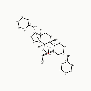 C[C@]12CC[C@H]3[C@@H](CC=C4C[C@@H](OC5CCCCO5)CC[C@@]43CC=CCl)[C@@H]1CC[C@@H]2OC1CCCCO1